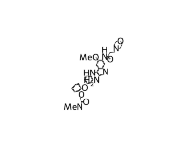 CNC(=O)COc1ccccc1Oc1ccc(Nc2c(N)cnc3cc(NC(=O)CCN4CCOCC4)c(OC)cc23)cc1